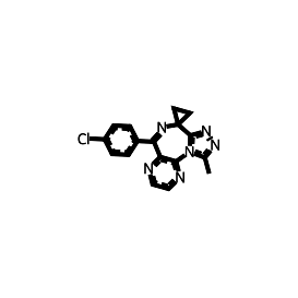 Cc1nnc2n1-c1nccnc1C(c1ccc(Cl)cc1)=NC21CC1